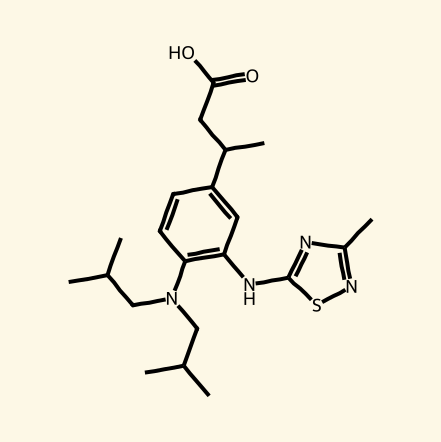 Cc1nsc(Nc2cc(C(C)CC(=O)O)ccc2N(CC(C)C)CC(C)C)n1